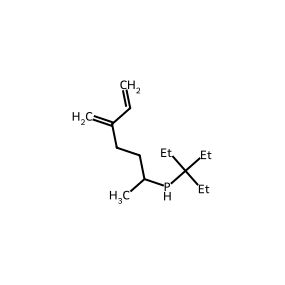 C=CC(=C)CCC(C)PC(CC)(CC)CC